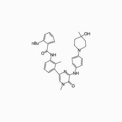 CCCCc1ccccc1C(=O)Nc1cccc(-c2cn(C)c(=O)c(Nc3ccc(N4CCC(C)(O)CC4)cc3)n2)c1C